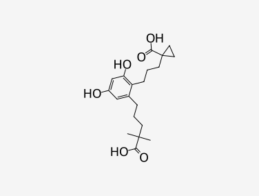 CC(C)(CCCc1cc(O)cc(O)c1CCCC1(C(=O)O)CC1)C(=O)O